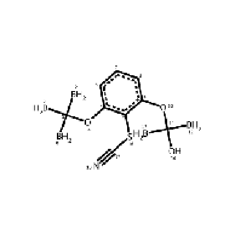 BC(B)(B)Oc1cccc(OC(B)(B)O)c1SC#N